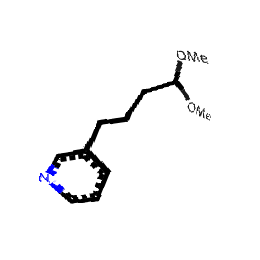 COC(CCCc1cccnc1)OC